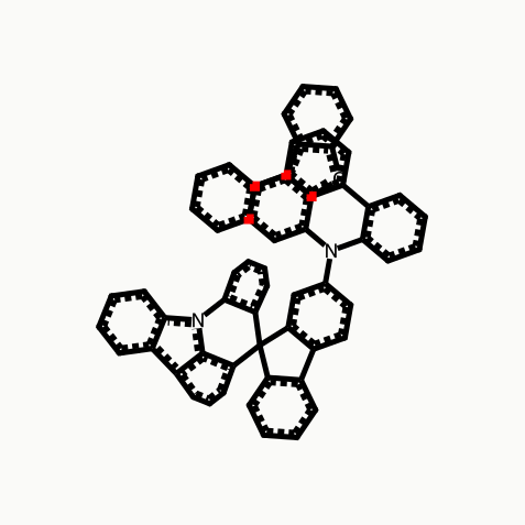 c1ccc(-c2cccc(-c3ccccc3N(c3ccc4c(c3)C3(c5ccccc5-4)c4ccccc4-n4c5ccccc5c5cccc3c54)c3cccc4c3oc3ccccc34)c2)cc1